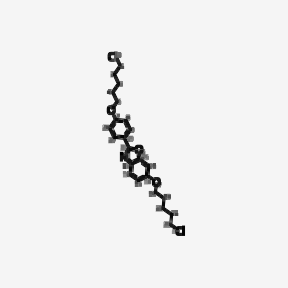 ClCCCCCOc1ccc(-c2nc3ccc(OCCCCCCl)cc3o2)cc1